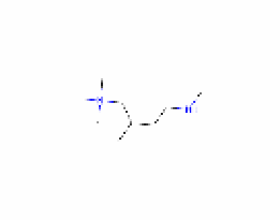 CNCCC(C)C[N+](C)(C)C